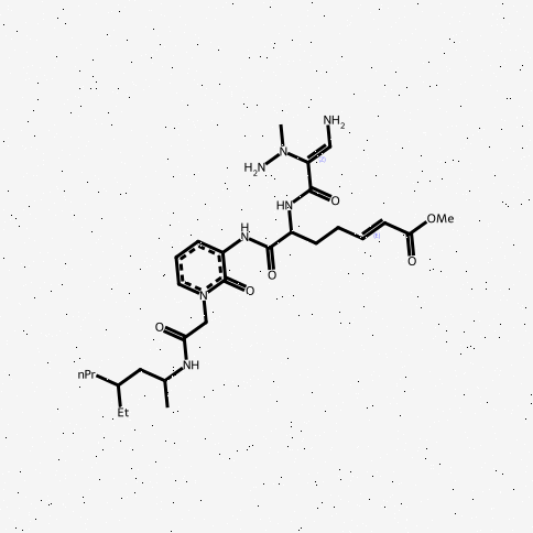 CCCC(CC)CC(C)NC(=O)Cn1cccc(NC(=O)C(CC/C=C/C(=O)OC)NC(=O)/C(=C/N)N(C)N)c1=O